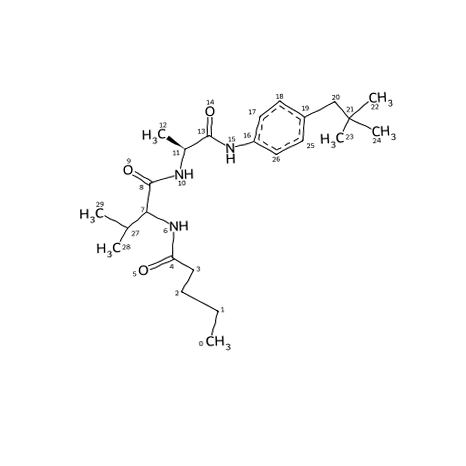 CCCCC(=O)NC(C(=O)N[C@@H](C)C(=O)Nc1ccc(CC(C)(C)C)cc1)C(C)C